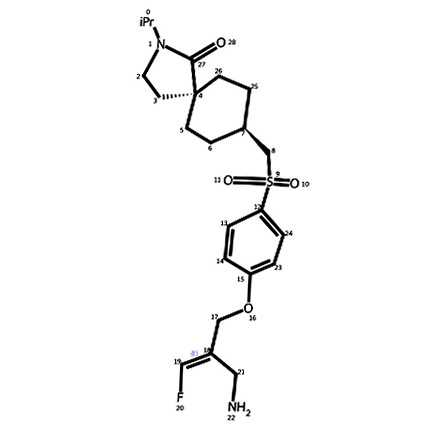 CC(C)N1CC[C@]2(CC[C@H](CS(=O)(=O)c3ccc(OC/C(=C/F)CN)cc3)CC2)C1=O